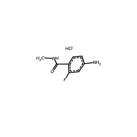 CNC(=O)c1ccc(N)cc1F.Cl